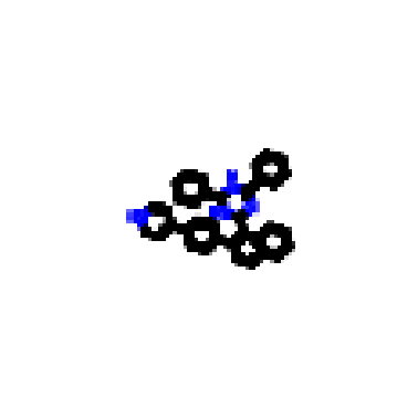 C1=CC(c2ccc(-c3ccc4ccccc4c3C3N=C(c4ccccc4)NC(c4ccccc4)N3)cc2)=CCN1